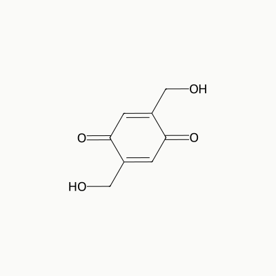 O=C1C=C(CO)C(=O)C=C1CO